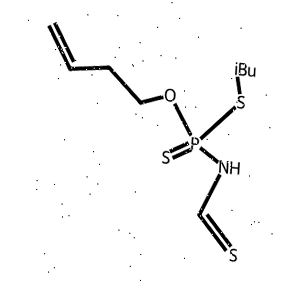 C=CCCOP(=S)(NC=S)SC(C)CC